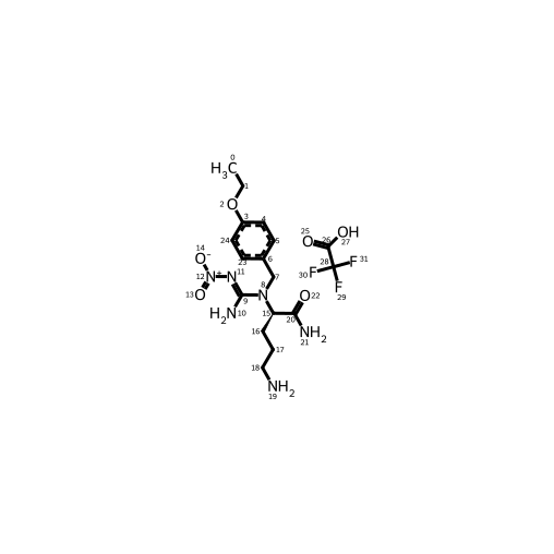 CCOc1ccc(CN(C(N)=N[N+](=O)[O-])[C@H](CCCN)C(N)=O)cc1.O=C(O)C(F)(F)F